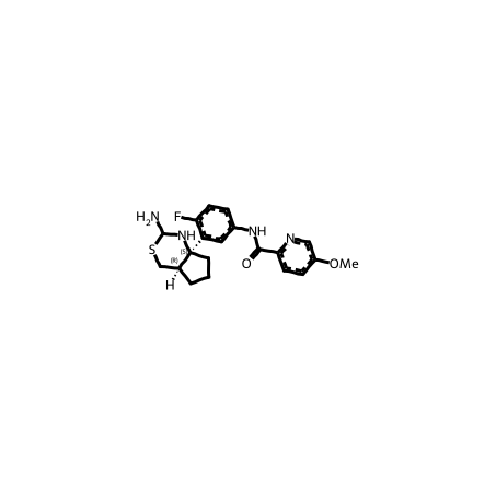 COc1ccc(C(=O)Nc2ccc(F)c([C@]34CCC[C@H]3CSC(N)N4)c2)nc1